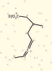 CC=C=CCC(C)CC(=O)OCC